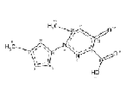 Cc1csc(-n2nc(C(=O)O)c(=O)cc2C)c1